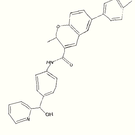 Cc1ccc(-c2ccc3c(c2)C=C(C(=O)Nc2ccc(C(O)c4ccccn4)cc2)C(C)O3)cc1